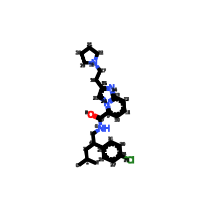 CC(C)CC(CNC(=O)c1cccc2nc(CCN3CCCC3)cn12)c1ccc(Cl)cc1